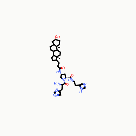 C[C@]12CC[C@@H](O)CC1CCC1C2CC[C@]2(C)C(CCC(=O)N[C@H]3C[C@@H](C(=O)NCCc4cnc[nH]4)N(C(=O)C(N)Cc4c[nH]cn4)C3)CCC12